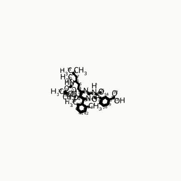 COc1c(CCC(CC(C)(C)C)NC(=O)OC(C)(C)C)nc(NS(=O)(=O)c2cccc(C(=O)O)c2)nc1-c1c(C)cccc1C